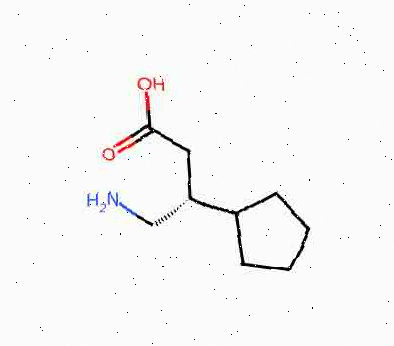 NC[C@H](CC(=O)O)C1CCCC1